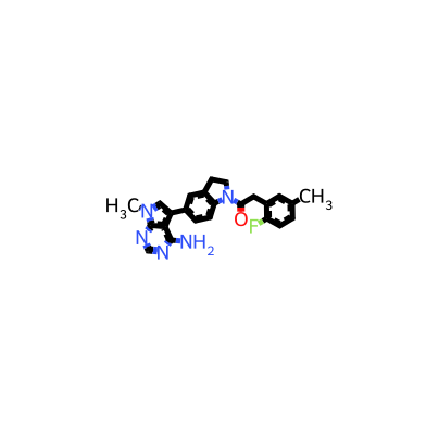 Cc1ccc(F)c(CC(=O)N2CCc3cc(-c4cn(C)c5ncnc(N)c45)ccc32)c1